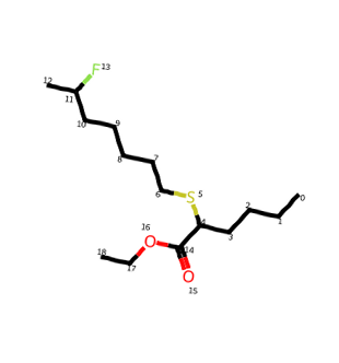 CCCCC(SCCCCCC(C)F)C(=O)OCC